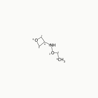 CCONC1COC1